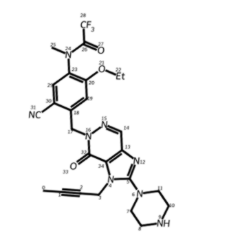 CC#CCn1c(N2CCNCC2)nc2cnn(Cc3cc(OCC)c(N(C)C(=O)C(F)(F)F)cc3C#N)c(=O)c21